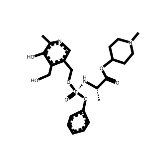 Cc1ncc(CO[P@@](=O)(N[C@@H](C)C(=O)OC2CCN(C)CC2)Oc2ccccc2)c(CO)c1O